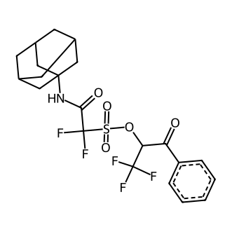 O=C(c1ccccc1)C(OS(=O)(=O)C(F)(F)C(=O)NC12CC3CC(CC(C3)C1)C2)C(F)(F)F